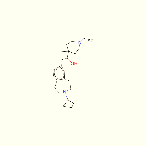 CC(=O)CN1CCC(C)(C(O)Cc2ccc3c(c2)CCN(C2CCC2)CC3)CC1